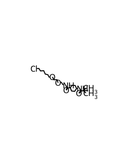 CC(C)C(=O)NC1CCC(C(=O)NCCOCCOCCCCCCCl)CC1